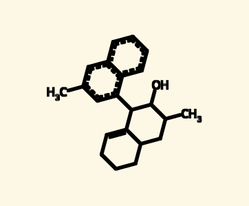 Cc1cc(C2C3=CCCCC3CC(C)C2O)c2ccccc2c1